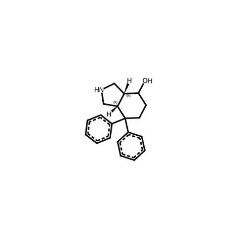 OC1CCC(c2ccccc2)(c2ccccc2)[C@@H]2CNC[C@H]12